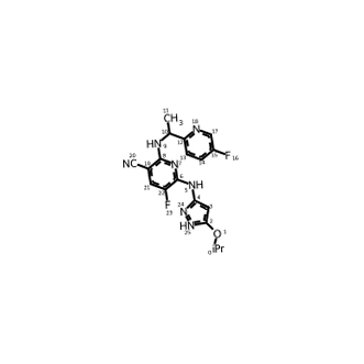 CC(C)Oc1cc(Nc2nc(NC(C)c3ccc(F)cn3)c(C#N)cc2F)n[nH]1